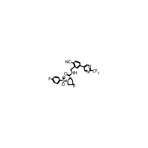 N#Cc1ccc(-c2cnc(C(F)(F)F)nc2)cc1CNC(=O)[C@@H]1C[C@@H](F)CN1S(=O)(=O)c1ccc(F)cc1